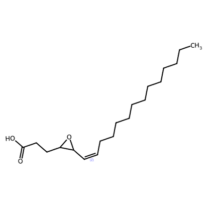 CCCCCCCCCCCC/C=C\C1OC1CCC(=O)O